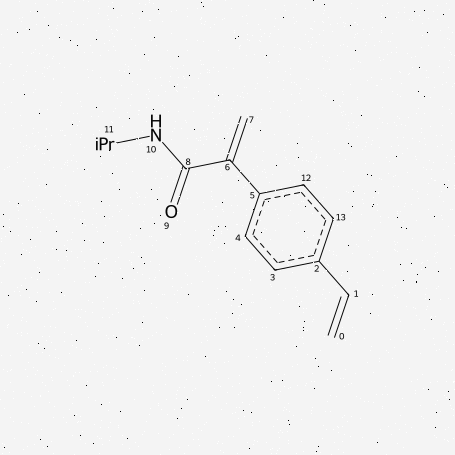 C=Cc1ccc(C(=C)C(=O)NC(C)C)cc1